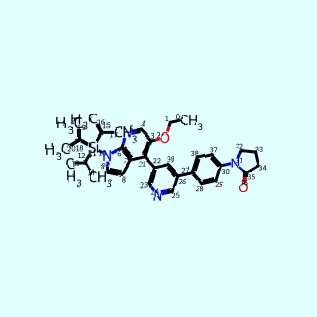 CCOc1cnc2c(ccn2[Si](C(C)C)(C(C)C)C(C)C)c1-c1cncc(-c2ccc(N3CCCC3=O)cc2)c1